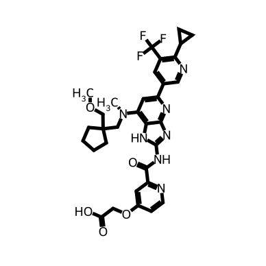 COCC1(CN(C)c2cc(-c3cnc(C4CC4)c(C(F)(F)F)c3)nc3nc(NC(=O)c4cc(OCC(=O)O)ccn4)[nH]c23)CCCC1